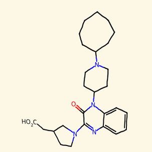 O=C(O)CC1CCN(c2nc3ccccc3n(C3CCN(C4CCCCCCC4)CC3)c2=O)C1